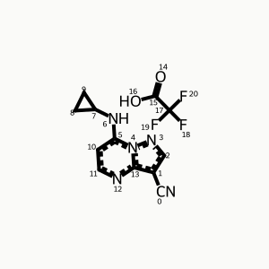 N#Cc1cnn2c(NC3CC3)ccnc12.O=C(O)C(F)(F)F